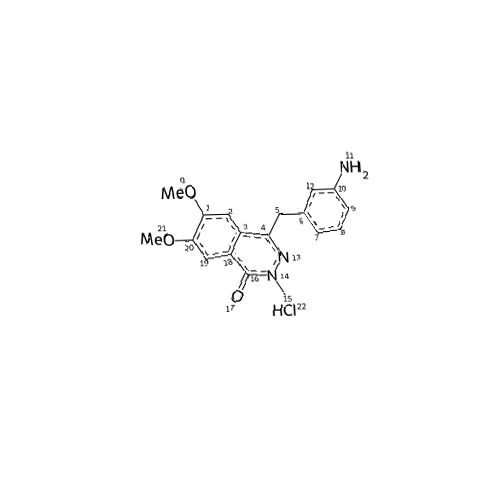 COc1cc2c(Cc3cccc(N)c3)nn(C)c(=O)c2cc1OC.Cl